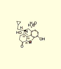 O.O.O=C1CC[C@@]2(O)[C@H]3Cc4ccc(O)c5c4[C@@]2(CCN3CC2CC2)[C@H]1O5